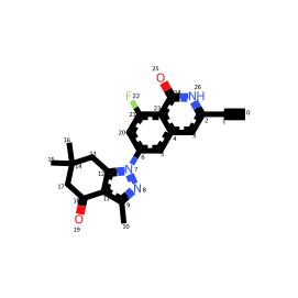 C#Cc1cc2cc(-n3nc(C)c4c3CC(C)(C)CC4=O)cc(F)c2c(=O)[nH]1